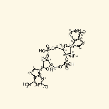 Nc1nc(Cl)nc2c1ncn2[C@H]1C[C@@H]2OP(=O)(O)OC[C@H]3O[C@@H](n4cnc5c(=O)[nH]cnc54)[C@H](F)[C@@H]3OP(=O)(O)OC[C@H]2O1